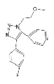 COCCn1nnc(-c2ccc(F)cc2)c1-c1ccncc1